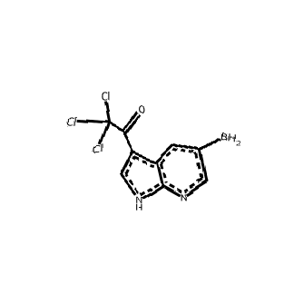 Bc1cnc2[nH]cc(C(=O)C(Cl)(Cl)Cl)c2c1